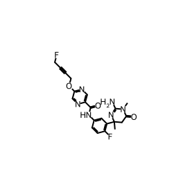 CN1C(=O)CC(C)(c2cc(NC(=O)c3cnc(OCC#CCF)cn3)ccc2F)N=C1N